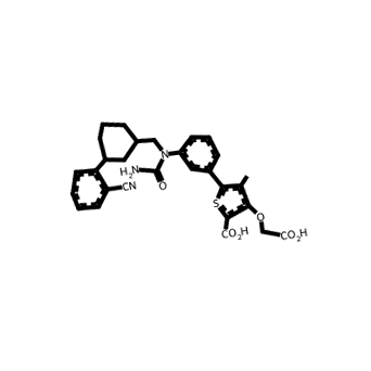 Cc1c(-c2cccc(N(CC3CCCC(c4ccccc4C#N)C3)C(N)=O)c2)sc(C(=O)O)c1OCC(=O)O